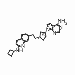 Nc1ncnc2c1ccn2[C@H]1CC[C@@H](CCc2ccc3ccc(NC4CCC4)nc3c2)C1